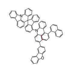 c1ccc(-c2cccc3ccccc23)c(-c2ccccc2N(c2ccc(-c3ccc4oc5ccccc5c4c3)cc2)c2cccc3c2-c2ccccc2C32c3ccccc3-n3c4ccccc4c4cccc2c43)c1